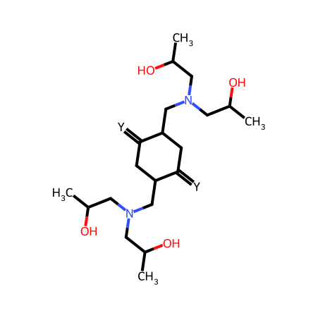 CC(O)CN(CC(C)O)CC1C[C](=[Y])C(CN(CC(C)O)CC(C)O)C[C]1=[Y]